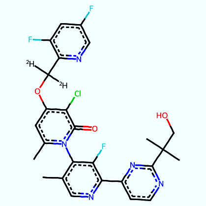 [2H]C([2H])(Oc1cc(C)n(-c2c(C)cnc(-c3ccnc(C(C)(C)CO)n3)c2F)c(=O)c1Cl)c1ncc(F)cc1F